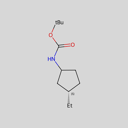 CC[C@H]1CCC(NC(=O)OC(C)(C)C)C1